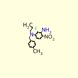 C=CCN(Cc1ccc(C)cc1)c1ccc([N+](=O)[O-])c(N)c1F